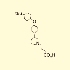 CC(C)(C)C1CCC(Oc2ccc(C3CCCN(CCCC(=O)O)C3)cc2)CC1